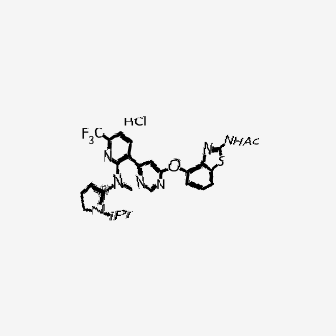 CC(=O)Nc1nc2c(Oc3cc(-c4ccc(C(F)(F)F)nc4N(C)[C@@H]4CCCN4C(C)C)ncn3)cccc2s1.Cl